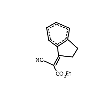 CCOC(=O)/C(C#N)=C1\CCc2ccccc21